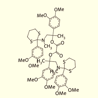 COc1ccc(C(C)(CN(C)C2(c3ccc(OC)c(OC)c3)SCCCS2)OC(=O)C(=O)OC(C)(CN(C)C2(c3ccc(OC)c(OC)c3)SCCCS2)c2ccc(OC)c(OC)c2)cc1OC